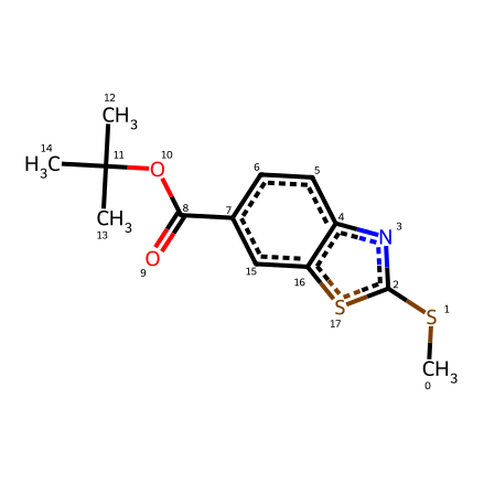 CSc1nc2ccc(C(=O)OC(C)(C)C)cc2s1